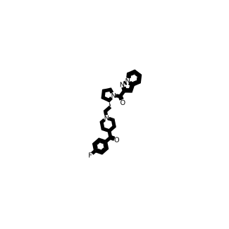 O=C(c1ccc(F)cc1)C1CCN(CC[C@@H]2CCCN2C(=O)c2cc3ccccn3n2)CC1